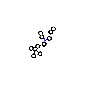 c1ccc(-c2c(-c3ccccc3)c3cc(-c4cccc(N(c5cccc(-c6ccc7ccccc7c6)c5)c5ccc6ccccc6c5)c4)ccc3c3ccccc23)cc1